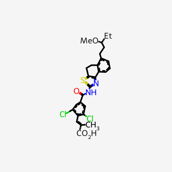 CCC(CCc1cccc2c1CCc1sc(NC(=O)c3cc(Cl)c(C=C(C)C(=O)O)c(Cl)c3)nc1-2)OC